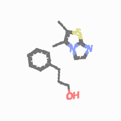 Cc1sc2nccn2c1C.OCCCc1ccccc1